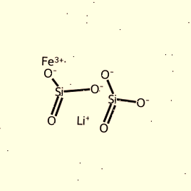 O=[Si]([O-])[O-].O=[Si]([O-])[O-].[Fe+3].[Li+]